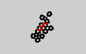 c1ccc(-c2ccccc2-c2c(-c3ccccc3)cccc2N(c2cccc(-c3cccc4c3c3ccccc3n4-c3ccccc3)c2)c2ccc3c(c2)C(c2ccccc2)(c2ccccc2)c2ccccc2-3)cc1